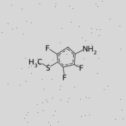 CSc1c(F)cc(N)c(F)c1F